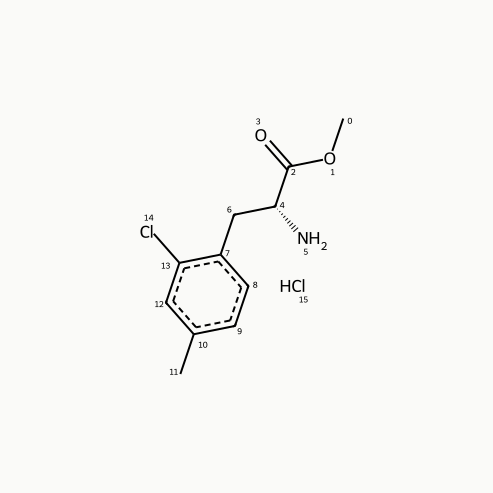 COC(=O)[C@H](N)Cc1ccc(C)cc1Cl.Cl